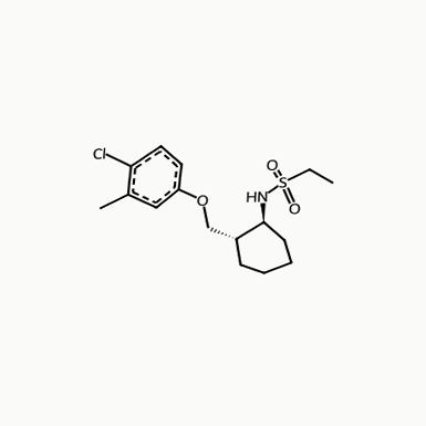 CCS(=O)(=O)N[C@H]1CCCC[C@@H]1COc1ccc(Cl)c(C)c1